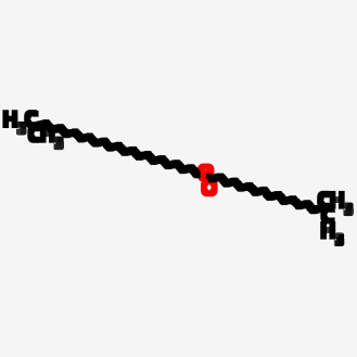 CC(C)CCCCCCCCCCCCCCCCCCCCCCOC(=O)CCCCCCCCCCCCCCC(C)C